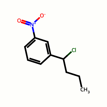 CCCC(Cl)c1cccc([N+](=O)[O-])c1